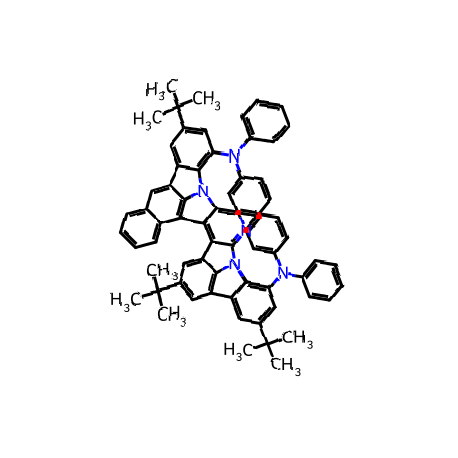 CC(C)(C)c1cc(N(c2ccccc2)c2ccccc2)c2c(c1)c1cc3ccccc3c3c4c5c6cc(C(C)(C)C)cc7c8cc(C(C)(C)C)cc(N(c9ccccc9)c9ccccc9)c8n(c5ncc4n2c13)c76